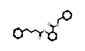 O=C(CCCc1ccccc1)Oc1ccccc1C(=O)OCc1ccccc1